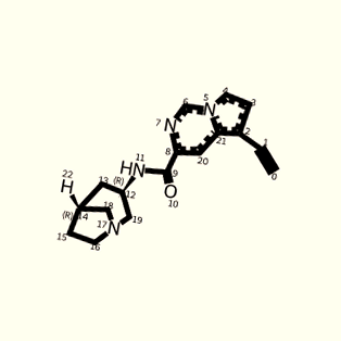 C#Cc1ccn2cnc(C(=O)N[C@@H]3C[C@H]4CCN(C4)C3)cc12